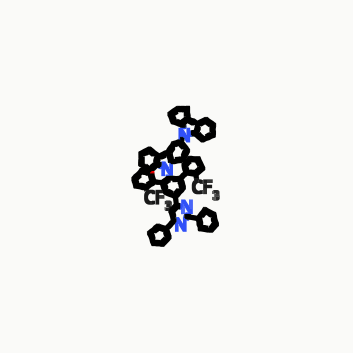 FC(F)(F)c1ccccc1-c1cc(-c2cc(-c3ccccc3)nc(-c3ccccc3)n2)cc(-c2ccccc2C(F)(F)F)c1-n1c2ccccc2c2cc(-n3c4ccccc4c4ccccc43)ccc21